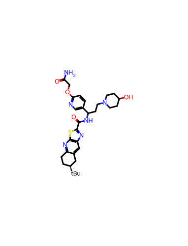 CC(C)(C)[C@H]1CCc2nc3sc(C(=O)NC(CCN4CCC(O)CC4)c4ccc(OCC(N)=O)nc4)nc3cc2C1